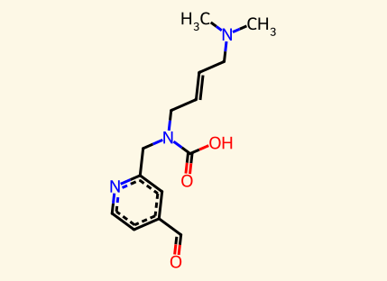 CN(C)C/C=C/CN(Cc1cc(C=O)ccn1)C(=O)O